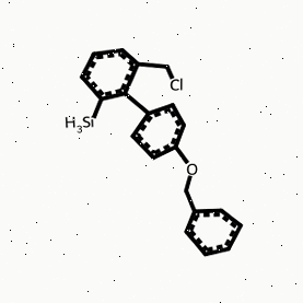 [SiH3]c1cccc(CCl)c1-c1ccc(OCc2ccccc2)cc1